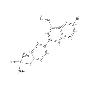 CCNc1nc(-c2ccc(CP(=O)(OC)OC)cc2)nc2ccc(Br)cc12